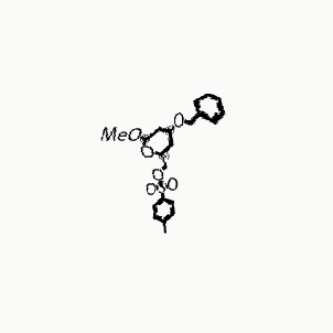 CO[C@H]1C[C@@H](OCc2ccccc2)C[C@@H](COS(=O)(=O)c2ccc(C)cc2)O1